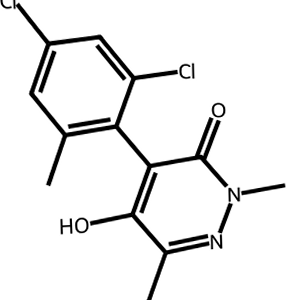 Cc1cc(Cl)cc(Cl)c1-c1c(O)c(C)nn(C)c1=O